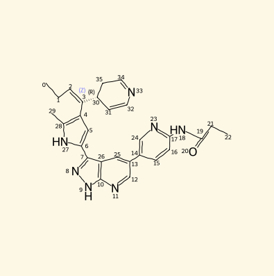 CC/C=C(\c1cc(-c2n[nH]c3ncc(-c4ccc(NC(=O)CC)nc4)cc23)[nH]c1C)[C@H]1C=CN=CC1